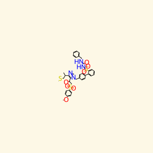 COc1ccc(S(=O)(=O)CC(=O)c2c(C(C)CSC)ncn2Cc2ccc(-c3ccccc3S(=O)(=O)NC(=O)NCc3ccccc3)cc2)cc1